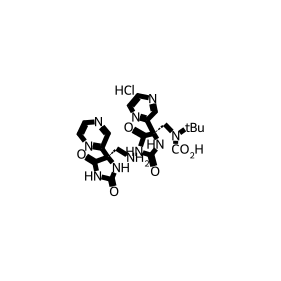 CC(C)(C)N(C[C@]1(c2cnccn2)NC(=O)NC1=O)C(=O)O.Cl.NC[C@]1(c2cnccn2)NC(=O)NC1=O